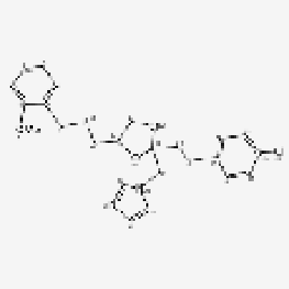 COc1ccccc1CSCC1COC(CCc2ccc(Cl)cc2)(Cn2ccnc2)O1